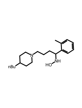 CCCCC1CCN(CCCC(NO)c2ccccc2C)CC1